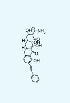 NC(=O)C1C(=O)[C@@]2(O)C(O)=C3C(=O)c4c(ccc(C#Cc5ccccc5)c4O)C[C@H]3C[C@H]2CC1O